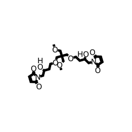 COCC(COC)(COCCC(O)CN1C(=O)C=CC1=O)COCCC(O)CN1C(=O)C=CC1=O